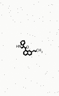 C=CCc1ccc2cccc(C(=O)c3c[nH]c4ccccc34)c2c1